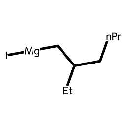 CCCCC(CC)[CH2][Mg][I]